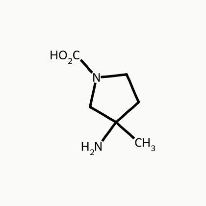 CC1(N)CCN(C(=O)O)C1